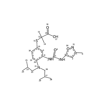 Cc1cc(NC(=O)Nc2cc(SC(C)(C)C(=O)O)ccc2N(CC(C)C)CC(C)C)on1